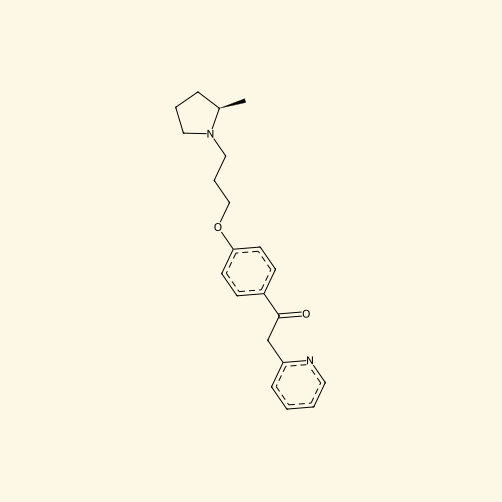 C[C@@H]1CCCN1CCCOc1ccc(C(=O)Cc2ccccn2)cc1